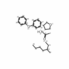 C1CCOC1.CC(N)=O.[CH2]C(CC)CCCC.c1ccc(Oc2ccccc2)cc1